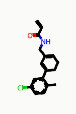 C=CC(=O)NCC1=CCCC(c2cc(Cl)ccc2C)=C1